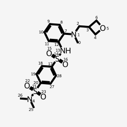 CN(CC1COC1)c1ccccc1NS(=O)(=O)c1ccc(S(=O)(=O)N(C)C)cc1